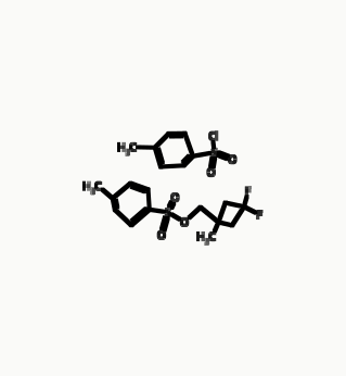 Cc1ccc(S(=O)(=O)Cl)cc1.Cc1ccc(S(=O)(=O)OCC2(C)CC(F)(F)C2)cc1